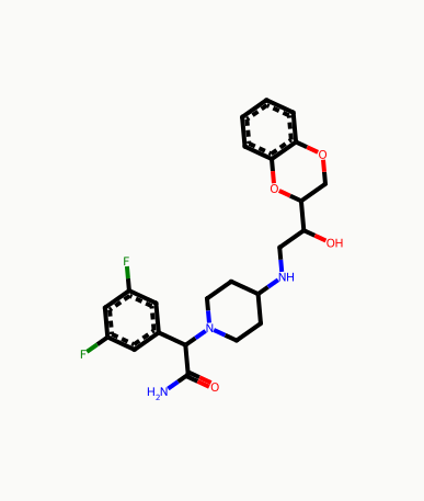 NC(=O)C(c1cc(F)cc(F)c1)N1CCC(NCC(O)C2COc3ccccc3O2)CC1